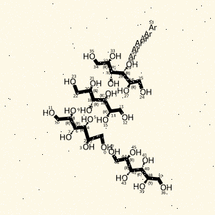 OC[C@@H](O)[C@@H](O)[C@H](O)[C@H](O)CO.OC[C@@H](O)[C@@H](O)[C@H](O)[C@H](O)CO.OC[C@@H](O)[C@@H](O)[C@H](O)[C@H](O)CO.OC[C@@H](O)[C@@H](O)[C@H](O)[C@H](O)CO.[Ar].[Ar].[Ar].[Ar].[Ar].[Ar]